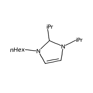 CCCCCCN1C=CN(C(C)C)C1C(C)C